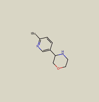 CC(C)(C)c1ccc(C2COCCN2)cn1